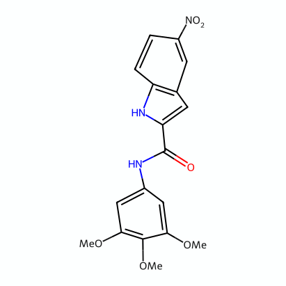 COc1cc(NC(=O)c2cc3cc([N+](=O)[O-])ccc3[nH]2)cc(OC)c1OC